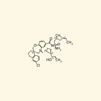 C=C[C@H](O)[C@@H]1CC[C@H]1CN1C[C@@]2(CCCc3cc(Cl)ccc32)COc2ccc(C(=O)N=S(N)(=O)C[C@@H](C)C/C=C\C)cc21